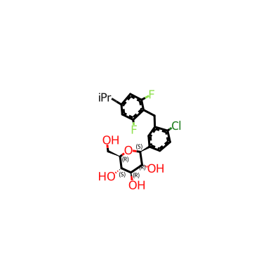 CC(C)c1cc(F)c(Cc2cc([C@@H]3O[C@H](CO)[C@@H](O)[C@H](O)[C@H]3O)ccc2Cl)c(F)c1